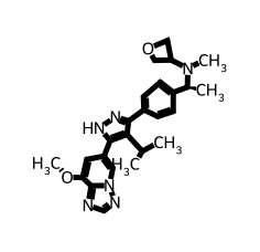 COc1cc(-c2[nH]nc(-c3ccc([C@H](C)N(C)C4COC4)cc3)c2C(C)C)cn2ncnc12